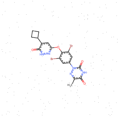 Cc1nn(-c2cc(Br)c(Oc3cc(C4CCC4)c(=O)[nH]n3)c(Br)c2)c(=O)[nH]c1=O